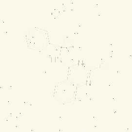 Clc1nc(NC2(c3ccccc3)CC2)c2ccccc2n1